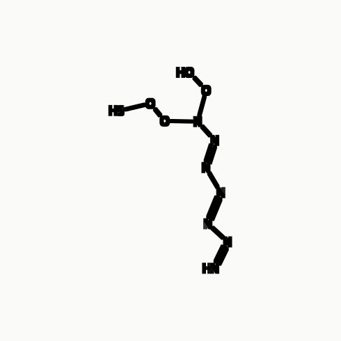 N=N/N=N/N=N/N(OO)OOS